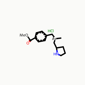 COC(=O)c1ccc(C[As](C)CC2CCCN2)cc1.Cl